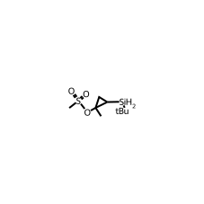 CC(C)(C)[SiH2]C1CC1(C)OS(C)(=O)=O